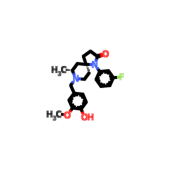 COc1cc(CN2CC[C@@]3(CCC(=O)N3c3cccc(F)c3)C[C@H]2C)ccc1O